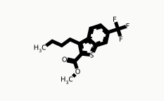 CCCCc1c(C(=O)OC)sc2cc(C(F)(F)F)ccc12